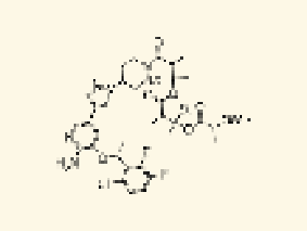 CCC(C)(OC(=O)C(C)OC)C(C)C(=O)OC(C)(CC)C(C)C(=O)N1CCC(n2cc(-c3cnc(N)c(O[C@H](C)c4c(Cl)ccc(F)c4Cl)c3)cn2)CC1